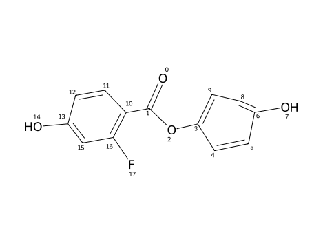 O=C(Oc1ccc(O)cc1)c1ccc(O)cc1F